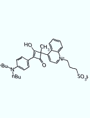 CCCCN(CCCC)c1ccc(C2=C(O)C(C)(c3cc[n+](CCCS(=O)(=O)O)c4ccccc34)C2=O)cc1